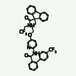 O=C(Nc1ccc(OCCCC2(C(=O)NCC(F)(F)F)c3ccccc3-c3ccccc32)cn1)c1ccccc1-c1ccc(C(F)(F)F)cc1